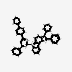 c1ccc(-c2ccc(-c3cc(-c4ccccc4)nc(-n4c5ccccc5c5c6oc(-c7ccccc7)c(-c7ccccc7)c6ccc54)n3)cc2)cc1